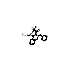 CCOC(=O)C(C(=O)C(F)(F)F)N(Cc1ccccc1)Cc1ccccc1